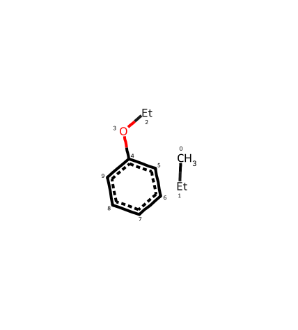 CCC.CCOc1ccccc1